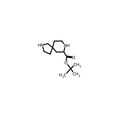 CC(C)(C)OC(=O)C1CC2(CCNC2)CCN1